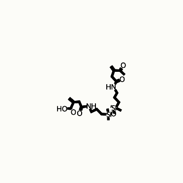 C=C(CC(=O)NCCC[Si](C)(C)O[Si](C)(C)CCCNC(=O)CC(=C)C(=O)O)C(C)=O